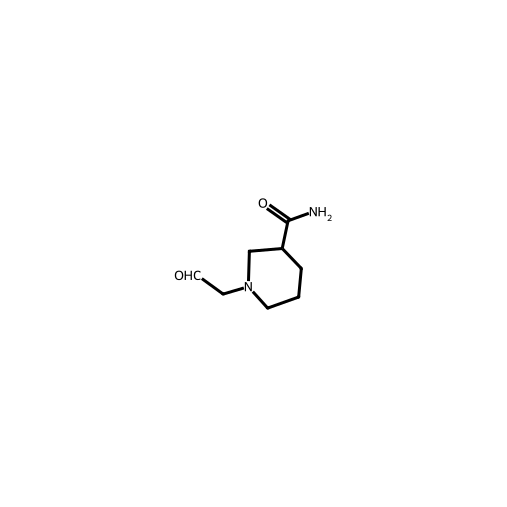 NC(=O)C1CCCN(CC=O)C1